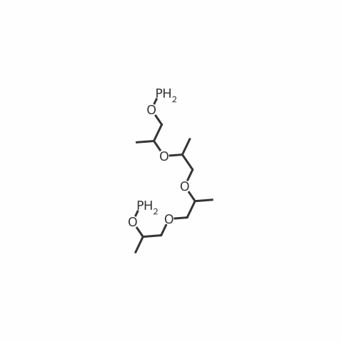 CC(COCC(C)OCC(C)OC(C)COP)OP